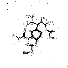 CCCC(C)C(=O)OC(C)C(C)C(c1ccc(OC(=O)OC(C)CC)c(OC(=O)OC(C)CC)c1)[C@H](N)C(=O)O